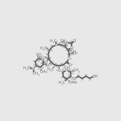 CC[C@H]1OC(=O)[C@H](C)[C@@H](O[C@H]2C[C@@](C)(OC)[C@@H](OCCCCO)[C@H](C)O2)[C@H](C)[C@@H](O[C@@H]2O[C@H](C)C[C@H](N(C)C)[C@H]2OC(C)=O)[C@](C)(O)C[C@@H](C)CN(C)[C@H](C)[C@H]2OC(=O)O[C@@]21C